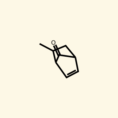 CC1CC2C=CC1C2=O